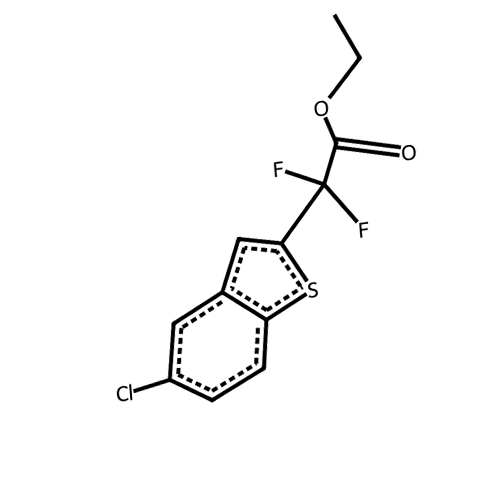 CCOC(=O)C(F)(F)c1cc2cc(Cl)ccc2s1